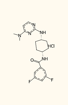 CN(C)c1ccnc(N[C@H]2CC[C@@H](NC(=O)c3cc(F)cc(F)c3)CC2)n1.Cl